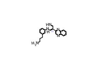 N=C/C(=C\Nc1cccc(CCCN)c1)c1cnc2ccccc2n1